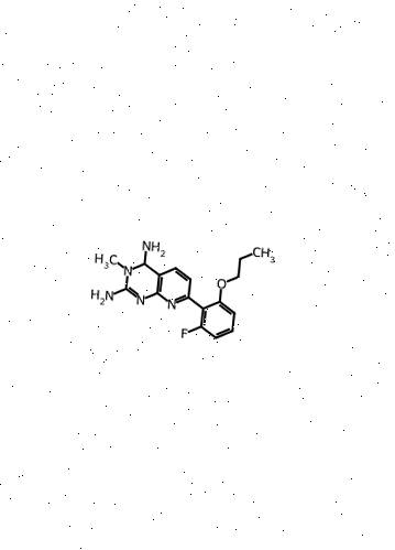 CCCOc1cccc(F)c1-c1ccc2c(n1)N=C(N)N(C)C2N